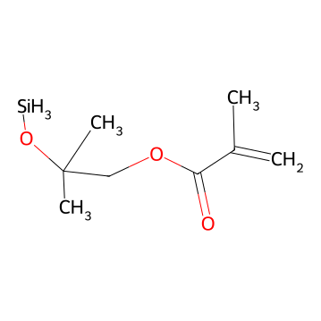 C=C(C)C(=O)OCC(C)(C)O[SiH3]